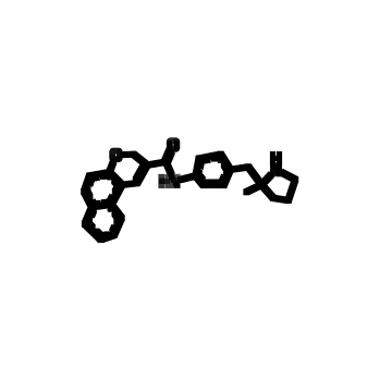 CC1(Cc2ccc(NC(=O)C3=Cc4c(ccc5ccccc45)OC3)cc2)CCCN1